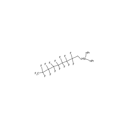 CCC[SiH](CCC)CCC(F)(F)C(F)(F)C(F)(F)C(F)(F)C(F)(F)C(F)(F)C(F)(F)C(F)(F)F